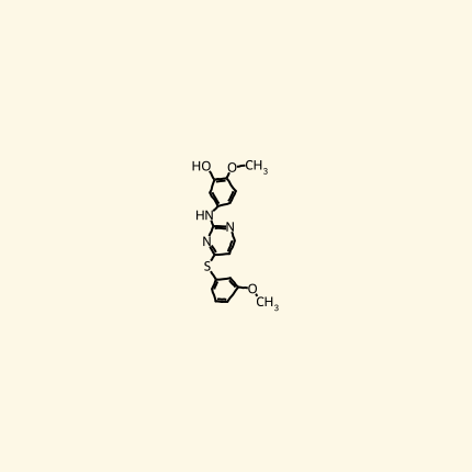 COc1cccc(Sc2ccnc(Nc3ccc(OC)c(O)c3)n2)c1